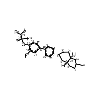 CC1CC[C@@H]2C[C@H](c3ccc(-c4ccc(OC(F)(F)C(F)F)c(F)c4)cc3)CC[C@@H]2C1